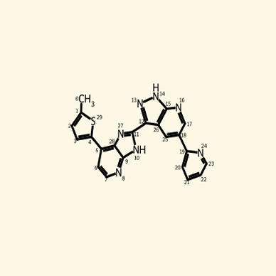 Cc1ccc(-c2ccnc3[nH]c(-c4n[nH]c5ncc(-c6ccccn6)cc45)nc23)s1